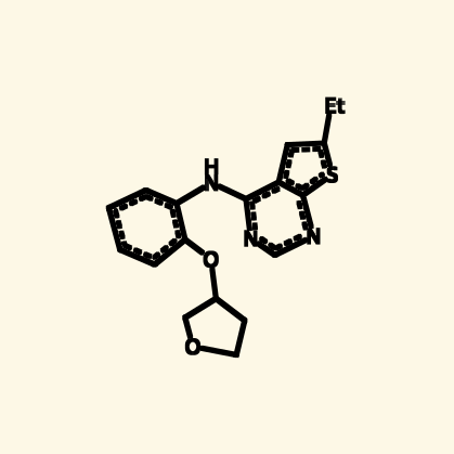 CCc1cc2c(Nc3ccccc3OC3CCOC3)ncnc2s1